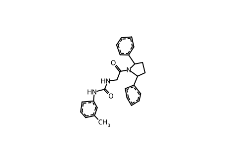 Cc1cccc(NC(=O)NCC(=O)N2C(c3ccccc3)CCC2c2ccccc2)c1